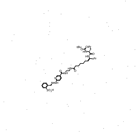 CCCC(=CCCCCCC(=O)NCCNC(=O)c1ccc(NN=Cc2ccccc2S(=O)(=O)O)nc1)NC(=O)[C@H](CC(C)C)NC(=O)OC(C)(C)C